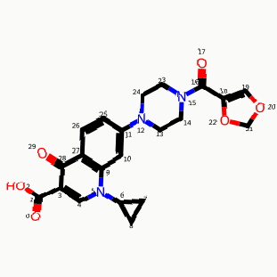 O=C(O)c1cn(C2CC2)c2cc(N3CCN(C(=O)C4=COCO4)CC3)ccc2c1=O